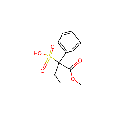 CCC(C(=O)OC)(c1ccccc1)S(=O)(=O)O